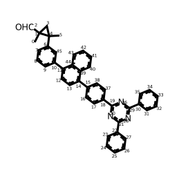 CC1(C=O)CC1(C)c1cccc(-c2ccc(-c3ccc(-c4nc(-c5ccccc5)nc(-c5ccccc5)n4)cc3)c3ccccc23)c1